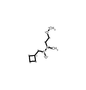 COCCN(C)[S+]([O-])CC1CCC1